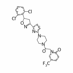 O=C(Cn1cc(C(F)(F)F)ccc1=O)N1CCN(c2nc(C3=NOC(c4c(Cl)cccc4Cl)C3)cs2)CC1